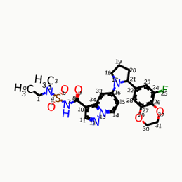 CCN(C)S(=O)(=O)NC(=O)c1cnn2ccc(N3CCCC3c3cc(F)c4c(c3)OCCO4)cc12